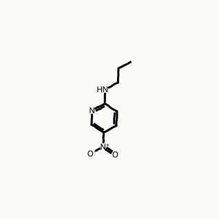 CCCNc1ccc([N+](=O)[O-])cn1